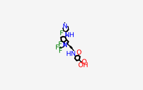 COc1cc(C(=O)O)ccc1NCC#Cc1cc2c(NC3=CCN(C)C[C@@H]3F)cccc2n1CC(F)(F)F